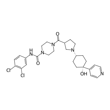 O=C(Nc1ccc(Cl)c(Cl)c1)N1CCN(C(=O)C2CCN([C@H]3CC[C@](O)(c4ccncc4)CC3)C2)CC1